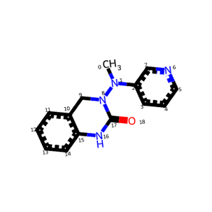 CN(c1cccnc1)N1Cc2ccccc2NC1=O